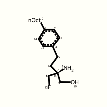 CCCCCCCCc1ccc(CC[C@](N)(CO)CF)cc1